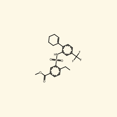 CCc1ccc(C(=O)OC)cc1S(=O)(=O)Nc1cc(C(F)(F)F)ccc1C1=CCCCC1